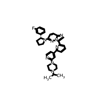 CC(C)N1CCN(c2cc(-c3cccc(-c4cnc5ccc(N6CCC[C@@H]6c6cccc(F)c6)nn45)n3)ccn2)CC1